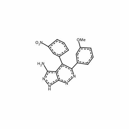 COc1cccc(-c2nnc3[nH]nc(N)c3c2-c2cccc([N+](=O)[O-])c2)c1